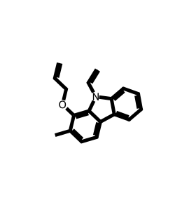 C=CCOc1c(C)ccc2c3ccccc3n(C=C)c12